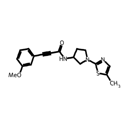 COc1cccc(C#CC(=O)NC2CCN(c3ncc(C)s3)C2)c1